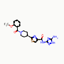 Nc1nc(NC(=O)c2csc(C3CCN(C(=O)c4ccccc4OC(F)(F)F)CC3)n2)n[nH]1